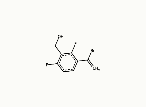 C=C(Br)c1ccc(F)c(CO)c1F